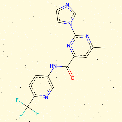 Cc1cc(C(=O)Nc2ccc(C(F)(F)F)nc2)nc(-n2ccnc2)n1